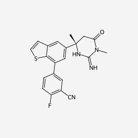 CN1C(=N)N[C@](C)(c2cc(-c3ccc(F)c(C#N)c3)c3sccc3c2)CC1=O